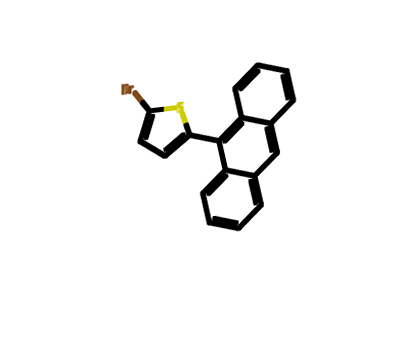 Brc1ccc(-c2c3ccccc3cc3ccccc23)s1